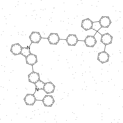 c1ccc(-c2cccc(C3(c4cccc(-c5ccc(-c6ccc(-c7cccc(-n8c9ccccc9c9cc(-c%10ccc%11c(c%10)c%10ccccc%10n%11-c%10ccccc%10-c%10ccccc%10)ccc98)c7)cc6)cc5)c4)c4ccccc4-c4ccccc43)c2)cc1